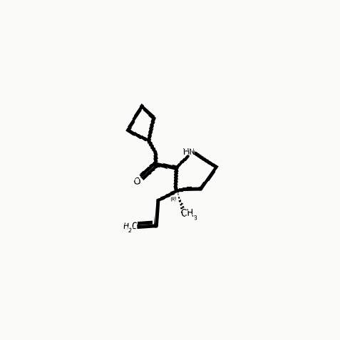 C=CC[C@]1(C)CCNC1C(=O)C1CCC1